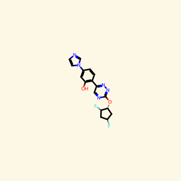 Oc1cc(-n2ccnc2)ccc1-c1cnc(O[C@@H]2C[C@@H](F)C[C@H]2F)nn1